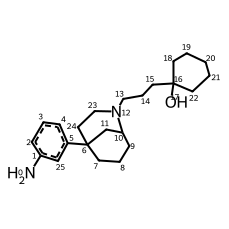 Nc1cccc(C23CCCC(C2)N(CCCC2(O)CCCCC2)CC3)c1